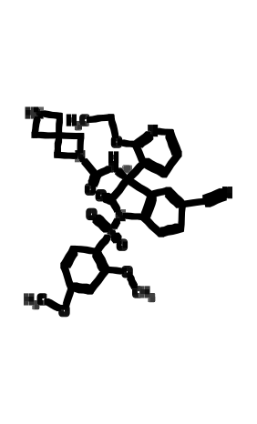 CCOc1ncccc1[C@@]1(NC(=O)N2CC3(CNC3)C2)C(=O)N(S(=O)(=O)c2ccc(OC)cc2OC)c2ccc(C#N)cc21